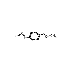 COCc1ccc(N=S=O)cc1